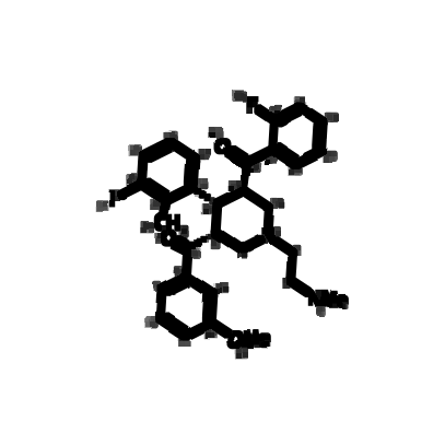 CNCCN1C[C@H](C(=O)c2cccc(OC)c2)[C@H](c2cccc(F)c2C)[C@@H](C(=O)c2ccccc2F)C1